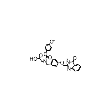 COc1ccc(OC(=O)N(CC(=O)O)Cc2ccc(OCc3nc4ccccc4c(=O)n3C)cc2)cc1